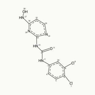 O=C(Nc1ccc(Cl)c(Cl)c1)Nc1nccc(NO)n1